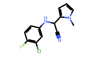 Cn1cccc1C(C#N)Nc1ccc(F)c(Cl)c1